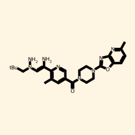 Cc1ccc2oc(N3CCN(C(=O)c4cnc(/C(N)=C/N(N)CC(C)(C)C)c(C)c4)CC3)nc2n1